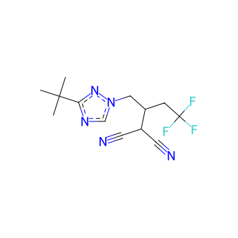 CC(C)(C)c1ncn(CC(CC(F)(F)F)C(C#N)C#N)n1